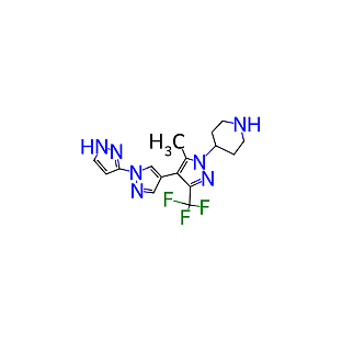 Cc1c(-c2cnn(-c3cc[nH]n3)c2)c(C(F)(F)F)nn1C1CCNCC1